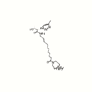 Cc1cn([C@H](C(=O)NCCCCCCCCCCC(=O)N2CCNCC2)[C@@H](C)O)nn1